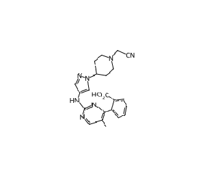 Cc1cnc(Nc2cnn(C3CCN(CC#N)CC3)c2)nc1-c1ccccc1C(=O)O